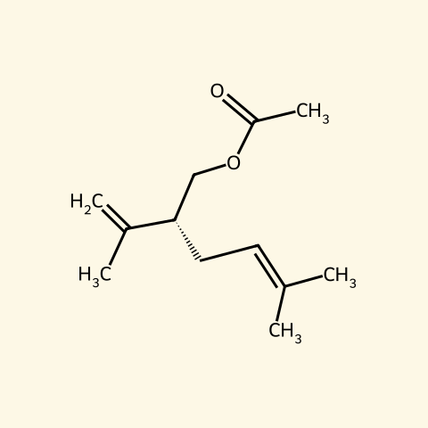 C=C(C)[C@@H](CC=C(C)C)COC(C)=O